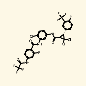 O=C(Nc1cc(NC(=O)[C@H]2[C@H](c3ccc(F)c(C(F)(F)F)c3)C2(Cl)Cl)ccc1Cl)c1ccc(NC(=O)C(F)(F)F)cc1F